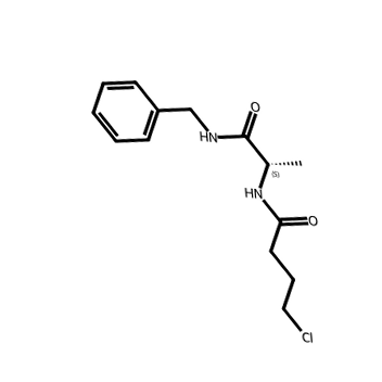 C[C@H](NC(=O)CCCCl)C(=O)NCc1ccccc1